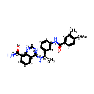 COc1ccc(C(=O)Nc2cccc([C@@H](C)Nc3ncnc4c(C(N)=O)cccc34)c2)cc1C